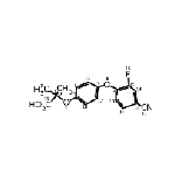 CC(C)(Oc1ccc(Oc2ccc(C#N)cc2F)cc1)C(=O)O